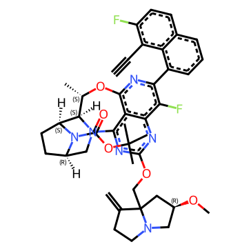 C#Cc1c(F)ccc2cccc(-c3nc4c5c(nc(OCC67C[C@@H](OC)CN6CCC7=C)nc5c3F)N3C[C@H]5CC[C@@H]([C@H]3[C@H](C)O4)N5C(=O)OC(C)(C)C)c12